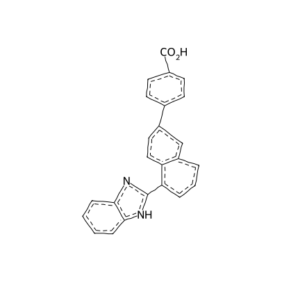 O=C(O)c1ccc(-c2ccc3c(-c4nc5ccccc5[nH]4)cccc3c2)cc1